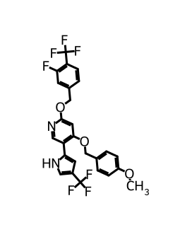 COc1ccc(COc2cc(OCc3ccc(C(F)(F)F)c(F)c3)ncc2-c2cc(C(F)(F)F)c[nH]2)cc1